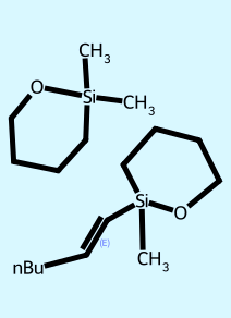 CCCC/C=C/[Si]1(C)CCCCO1.C[Si]1(C)CCCCO1